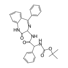 CC(C)(C)OC(=O)NC(C(=O)NC1N=C(c2ccccc2)c2ccccc2NC1=O)c1ccccc1